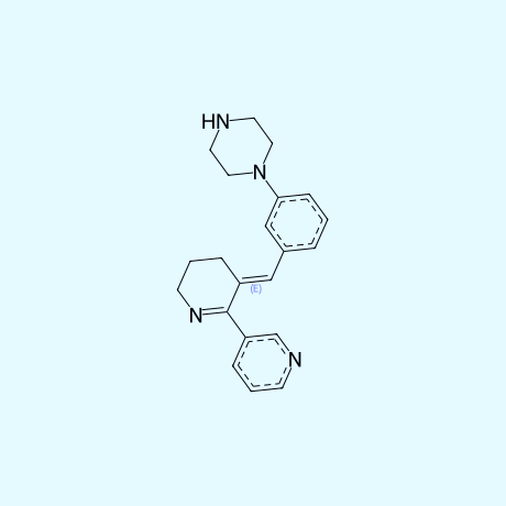 C(=C1/CCCN=C1c1cccnc1)/c1cccc(N2CCNCC2)c1